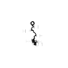 CC(=CCOP(=O)(O)OP(=O)(O)O)CCC=C(C)CNc1ccccc1